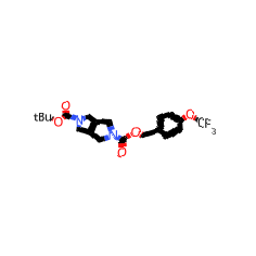 CC(C)(C)OC(=O)N1CC2=C(CN(C(=O)OCc3ccc(OC(F)(F)F)cc3)C2)C1